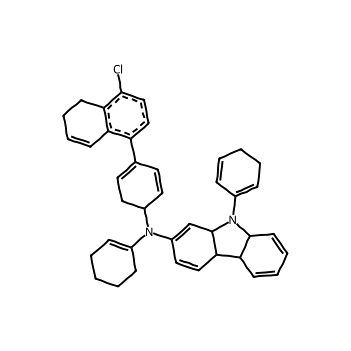 Clc1ccc(C2=CCC(N(C3=CC4C(C=C3)C3C=CC=CC3N4C3=CCCC=C3)C3=CCCCC3)C=C2)c2c1CCC=C2